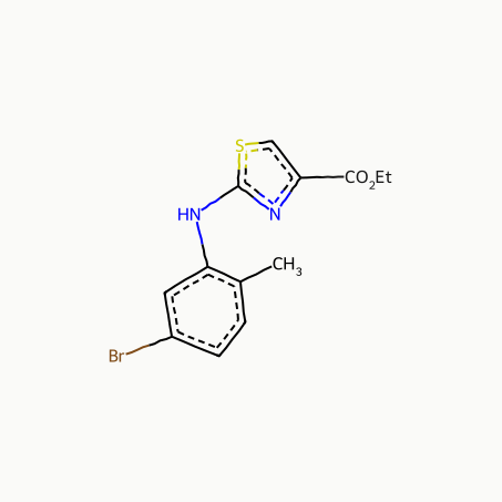 CCOC(=O)c1csc(Nc2cc(Br)ccc2C)n1